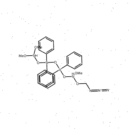 CO[SiH](OC)O[Si](O[Si](O[SiH](OC)OCN=[N+]=[N-])(c1ccccc1)c1ccccc1)(c1ccccc1)c1ccccc1